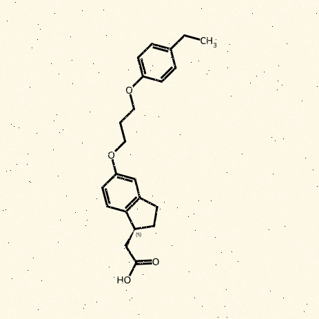 CCc1ccc(OCCCOc2ccc3c(c2)CC[C@H]3CC(=O)O)cc1